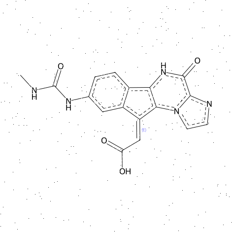 CNC(=O)Nc1ccc2c(c1)/c(=C\C(=O)O)c1c2[nH]c(=O)c2nccn21